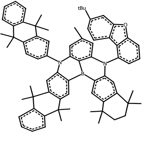 Cc1cc2c3c(c1)N(c1cccc4oc5cc(C(C)(C)C)ccc5c14)c1cc4c(cc1B3c1cc3c(cc1N2c1ccc2c(c1)C(C)(C)c1ccccc1C2(C)C)C(C)(C)c1ccccc1C3(C)C)C(C)(C)CCC4(C)C